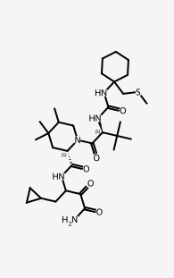 CSCC1(NC(=O)N[C@H](C(=O)N2CC(C)C(C)(C)C[C@H]2C(=O)NC(CC2CC2)C(=O)C(N)=O)C(C)(C)C)CCCCC1